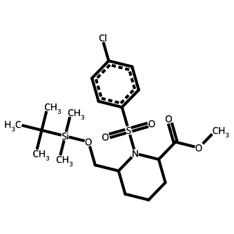 COC(=O)C1CCCC(CO[Si](C)(C)C(C)(C)C)N1S(=O)(=O)c1ccc(Cl)cc1